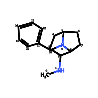 CNC1CCC2CCC1N2Cc1ccccc1